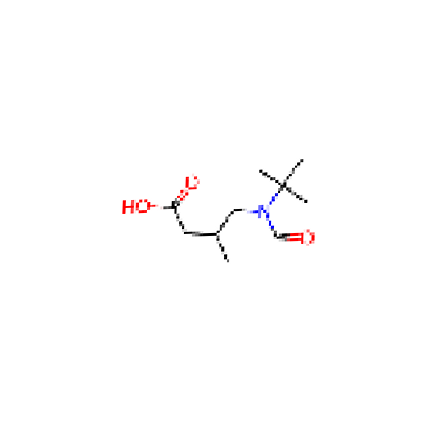 CC(CC(=O)O)CN(C=O)C(C)(C)C